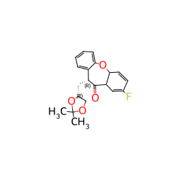 CC1(C)OC[C@@H](C[C@H]2C(=O)C3C=C(F)C=CC3Oc3ccccc32)O1